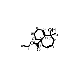 CCOC(=O)C12CC=CCC(C)(O)C1=CCCC2